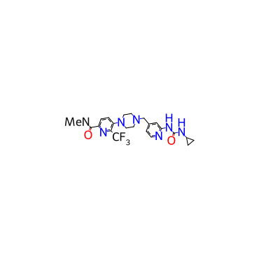 CNC(=O)c1ccc(N2CCN(Cc3ccnc(NC(=O)NC4CC4)c3)CC2)c(C(F)(F)F)n1